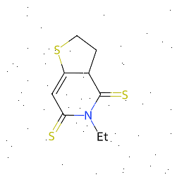 CCN1C(=S)C=C2SCCC2C1=S